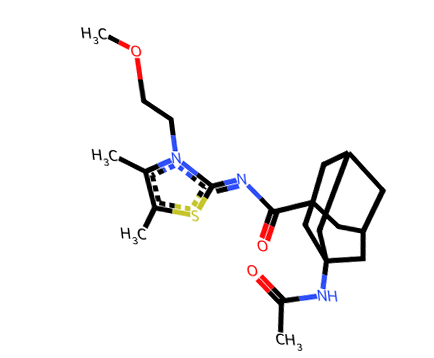 COCCn1c(C)c(C)s/c1=N\C(=O)C12CC3CC(CC(NC(C)=O)(C3)C1)C2